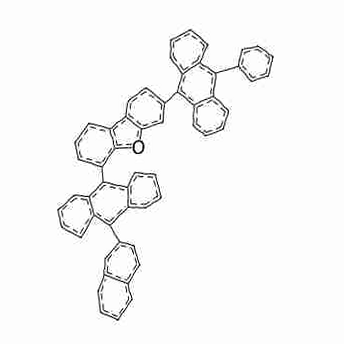 c1ccc(-c2c3ccccc3c(-c3ccc4c(c3)oc3c(-c5c6ccccc6c(-c6ccc7ccccc7c6)c6ccccc56)cccc34)c3ccccc23)cc1